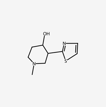 CN1CCC(O)C(c2nccs2)C1